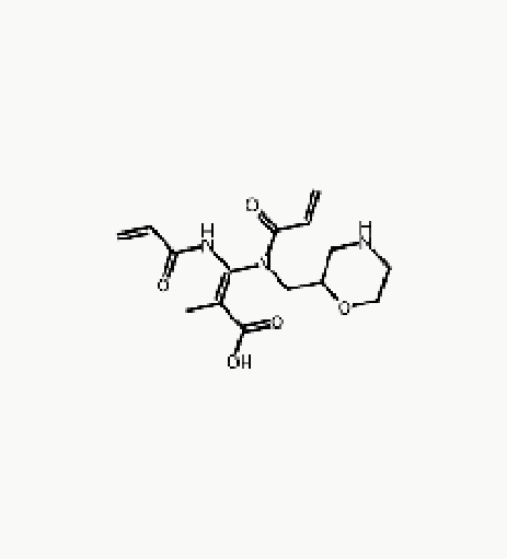 C=CC(=O)NC(=C(C)C(=O)O)N(CC1CNCCO1)C(=O)C=C